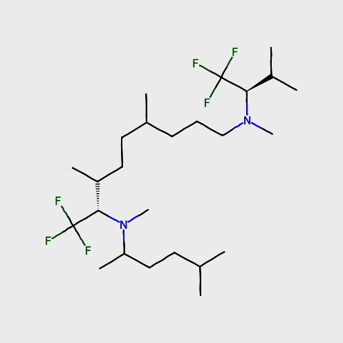 CC(C)CCC(C)N(C)[C@@H](C(C)CCC(C)CCCN(C)[C@H](C(C)C)C(F)(F)F)C(F)(F)F